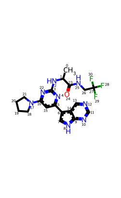 CC(Nc1nc(-c2c[nH]c3ncncc23)cc(N2CCCC2)n1)C(=O)NCC(F)(F)F